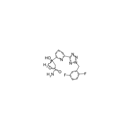 C[C@](O)(CS(N)(=O)=O)c1cccc(-c2nnn(Cc3cc(F)ccc3F)n2)n1